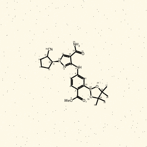 COC(=O)c1ccc(Nc2nn([C@H]3CCCC3C#N)cc2C(N)=O)cc1B1OC(C)(C)C(C)(C)O1